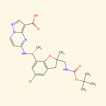 C[C@@H](Nc1ccn2ncc(C(=O)O)c2n1)c1cc(Cl)cc2c1OC(C)(CNC(=O)OC(C)(C)C)C2